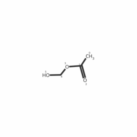 CC(=O)OCO